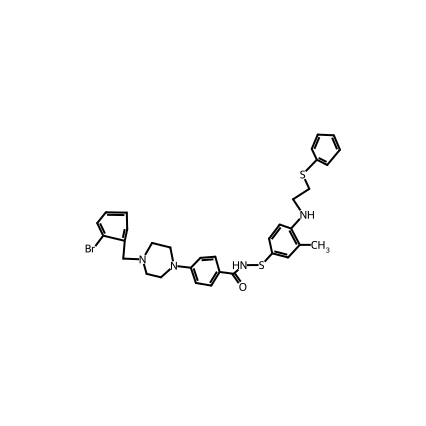 Cc1cc(SNC(=O)c2ccc(N3CCN(Cc4ccccc4Br)CC3)cc2)ccc1NCCSc1ccccc1